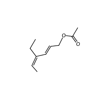 CC=C(C=CCOC(C)=O)CC